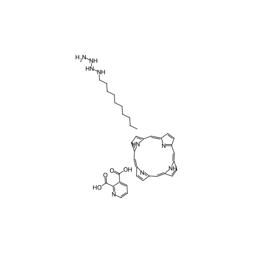 C1=Cc2cc3ccc(cc4nc(cc5ccc(cc1n2)[nH]5)C=C4)[nH]3.CCCCCCCCCCNNNN.O=C(O)c1cccnc1C(=O)O